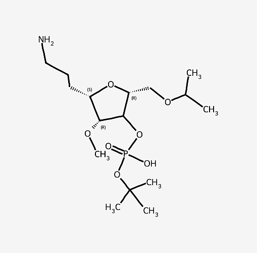 CO[C@H]1C(OP(=O)(O)OC(C)(C)C)[C@@H](COC(C)C)O[C@H]1CCCN